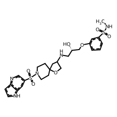 CNS(=O)(=O)c1cccc(OC[C@@H](O)CNC2COC3(CCN(S(=O)(=O)c4cnc5cc[nH]c5c4)CC3)C2)c1